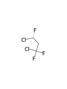 F[C@@H](Cl)CC(F)(F)Cl